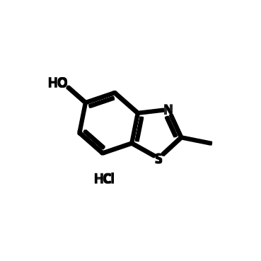 Cc1nc2cc(O)ccc2s1.Cl